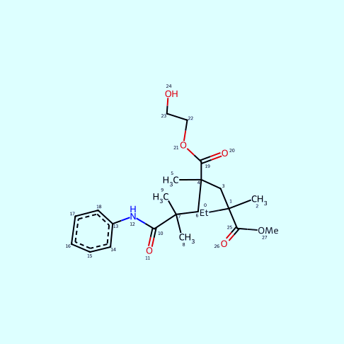 CCC(C)(CC(C)(CC(C)(C)C(=O)Nc1ccccc1)C(=O)OCCO)C(=O)OC